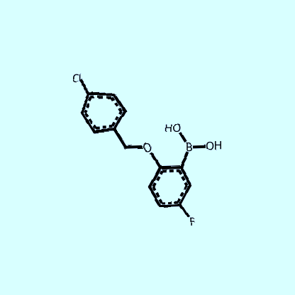 OB(O)c1cc(F)ccc1OCc1ccc(Cl)cc1